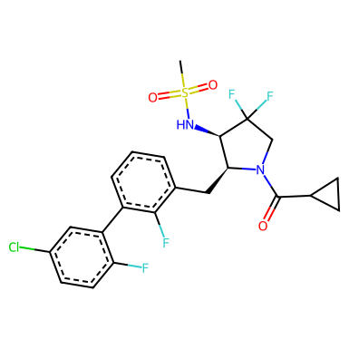 CS(=O)(=O)N[C@@H]1[C@H](Cc2cccc(-c3cc(Cl)ccc3F)c2F)N(C(=O)C2CC2)CC1(F)F